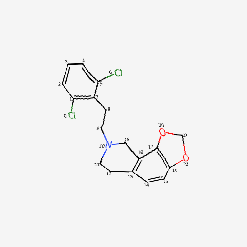 Clc1cccc(Cl)c1CCN1CCc2ccc3c(c2C1)OCO3